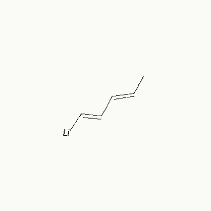 [Li]/[CH]=C/C=C/C